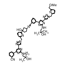 COCc1cccc(Cn2cc(-c3cc(-c4cccc(C#[N+]C5CCC(O)(c6cccc(Cn7cc(-c8cc(-c9cccc(C#N)c9)nc(NCC(C)(C)O)n8)nn7)n6)C5)c4)nc(NCC(C)(C)O)n3)nn2)n1